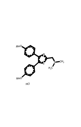 COc1ccc(-c2nc(CN(C)C)sc2-c2ccc(OC)cc2)cc1.Cl